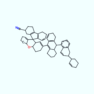 N#CC1CCC2=C(C1)C1(C3=CCCCC3OC3CCC(C4=C5CCCCC5C(c5cccc6c5C=CC(C5C=CCCC5)C6)C5=C4C=CCC5)=CC31)C1=C2CCC=C1